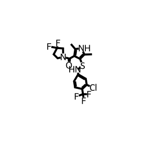 Cc1[nH]c(C)c(C(=O)N2CCC(F)(F)C2)c1SNc1ccc(C(F)(F)F)c(Cl)c1